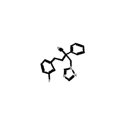 N#CC(CCc1cccc(F)c1)(Cn1cncn1)c1ccccc1